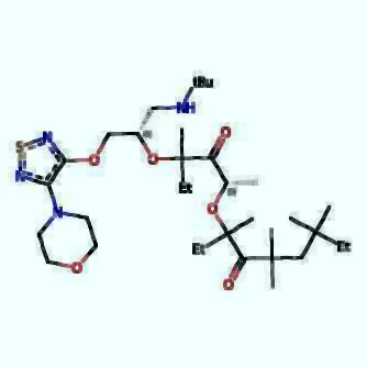 CCC(C)(C)CC(C)(C)C(=O)C(C)(CC)O[C@@H](C)C(=O)C(C)(CC)O[C@@H](CNC(C)(C)C)COc1nsnc1N1CCOCC1